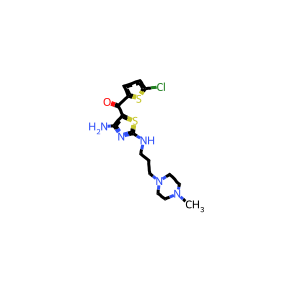 CN1CCN(CCCNc2nc(N)c(C(=O)c3ccc(Cl)s3)s2)CC1